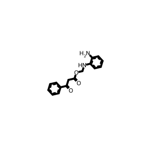 Nc1ccccc1NCOC(=O)CC(=O)c1ccccc1